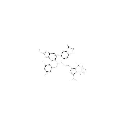 CSc1nc2nc(C(Cc3cc(F)cc(F)c3)NCCn3nc(C(F)F)c4c3C(F)(F)[C@@H]3CC[C@H]43)c(-c3ccc4c(c3)C(=O)NC4)cc2s1